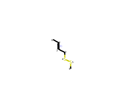 C/C=C/CSSC